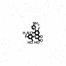 Nc1cc(-n2cc(C(=O)O)c(=O)c3cc(F)c(N4CCC(N)C4)c(Cl)c32)c(CO)cc1F